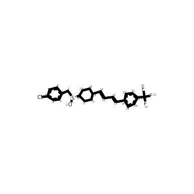 [O-][S+](Cc1ccc(Cl)cc1)C1CCC(C=CC=Cc2ccc(C(F)(F)F)cc2)CC1